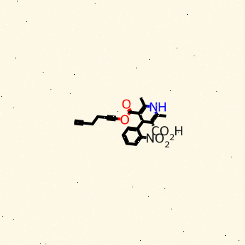 C#CCCC#COC(=O)C1=C(C)NC(C)=C(C(=O)O)C1c1ccccc1[N+](=O)[O-]